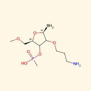 B[C@@H]1O[C@H](COC)C(OP(C)(=O)O)C1OCCCN